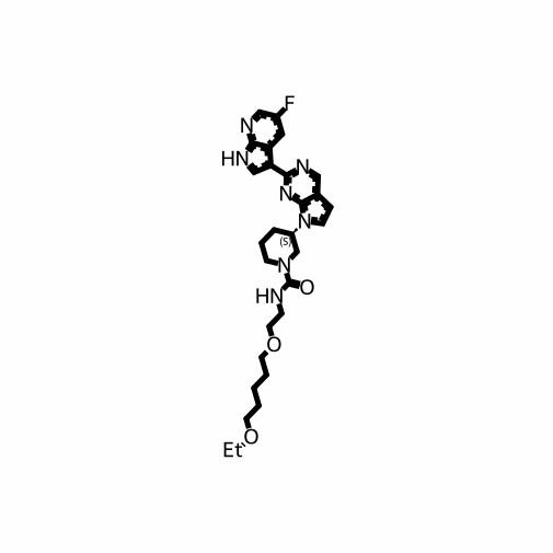 CCOCCCCCOCCNC(=O)N1CCC[C@H](n2ccc3cnc(-c4c[nH]c5ncc(F)cc45)nc32)C1